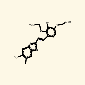 COCOc1ccc(/C=C/c2nc3cc(C)c([N+](=O)[O-])cc3s2)c(OCOC)c1Br